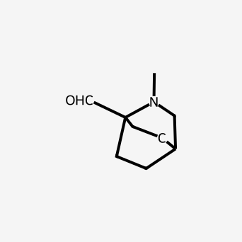 CN1CC2CCC1(C=O)CC2